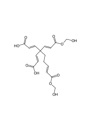 O=C(O)C=CC(C=CC(=O)O)(C=CC(=O)OCO)CCC=CC(=O)OCO